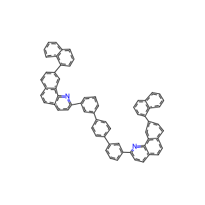 c1cc(-c2ccc(-c3cccc(-c4ccc5ccc6ccc(-c7cccc8ccccc78)cc6c5n4)c3)cc2)cc(-c2ccc3ccc4ccc(-c5cccc6ccccc56)cc4c3n2)c1